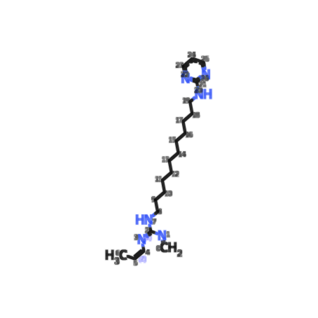 C=N/C(=N\C=C/C)NCCCCCCCCCCCCNc1ncccn1